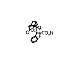 O=C(OC(c1ccccc1)C(F)(F)C(=O)O)C1C2CC3OC(=O)C1C3C2